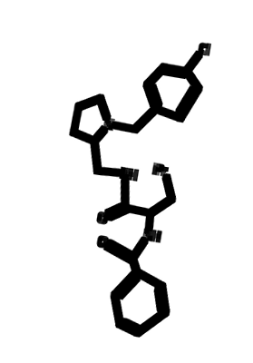 CC(C)CC(NC(=O)c1ccccc1)C(=O)NCC1CCCN1Cc1ccc(Cl)cc1